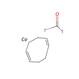 C1=C\CC/C=C\CC/1.O=C(I)I.[Co]